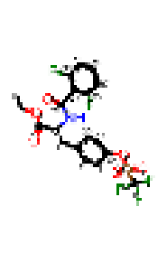 CCOC(=O)[C@H](Cc1ccc(OS(=O)(=O)C(F)(F)F)cc1)NC(=O)c1c(F)cccc1F